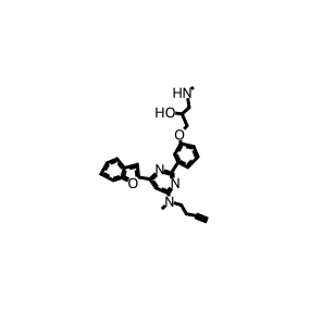 C#CCCN(C)c1cc(-c2cc3ccccc3o2)nc(-c2cccc(OCC(O)CNC)c2)n1